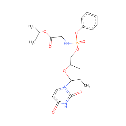 CC(C)OC(=O)CNP(=O)(OCC1CC(C)C(n2ccc(=O)[nH]c2=O)O1)Oc1ccccc1